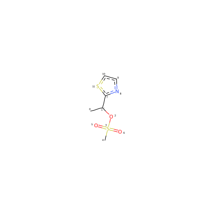 C[C](OS(C)(=O)=O)c1nccs1